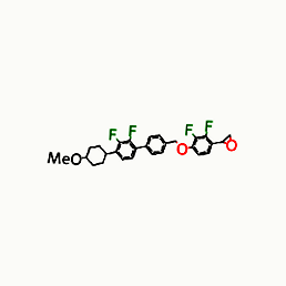 COC1CCC(c2ccc(-c3ccc(COc4ccc(C5CO5)c(F)c4F)cc3)c(F)c2F)CC1